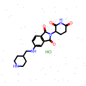 Cl.O=C1CCC(N2C(=O)c3ccc(NCC4CCNCC4)cc3C2=O)C(=O)N1